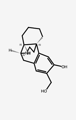 OCc1cc2c(cc1O)[C@]13CCCC[C@@H]1[C@H](C2)NCC3